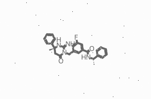 C[C@H](NC(=O)c1cc(F)cc(CN2C(=N)N[C@@](C)(c3ccccc3)CC2=O)c1)c1ccccc1